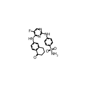 NS(=O)(=O)c1ccc(Nc2ncc(F)c(Nc3ccc4c(c3)CCCC4=O)n2)cc1